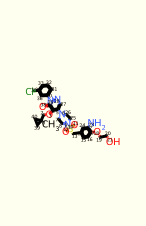 CC1(COc2c(N3CCN(S(=O)(=O)Cc4ccc(OCCO)c(N)c4)CC3)cnn(-c3cccc(Cl)c3)c2=O)CC1